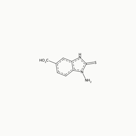 Nn1c(=S)[nH]c2cc(C(=O)O)ccc21